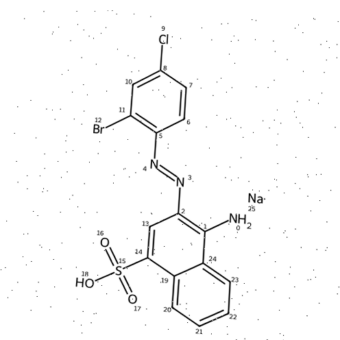 Nc1c(N=Nc2ccc(Cl)cc2Br)cc(S(=O)(=O)O)c2ccccc12.[Na]